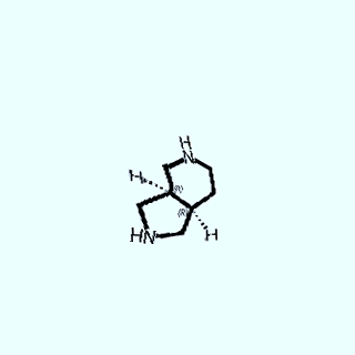 C1C[C@H]2CNC[C@H]2CN1